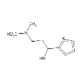 CN(CCC(O)c1cccs1)C(=O)O